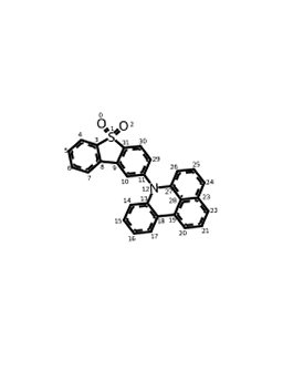 O=S1(=O)c2ccccc2-c2cc(N3c4ccccc4-c4cccc5cccc3c45)ccc21